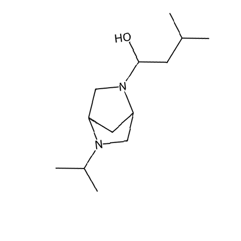 CC(C)CC(O)N1CC2CC1CN2C(C)C